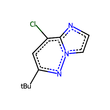 CC(C)(C)c1cc(Cl)c2nccn2n1